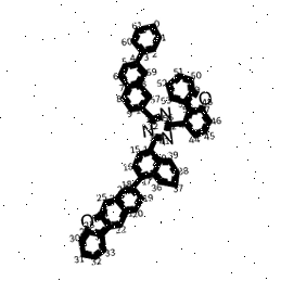 c1ccc(-c2ccc3ccc(-c4nc(-c5ccc(-c6ccc7cc8c(cc7c6)oc6ccccc68)c6ccccc56)nc(-c5cccc6oc7ccccc7c56)n4)cc3c2)cc1